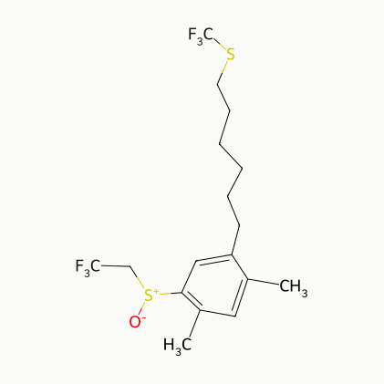 Cc1cc(C)c([S+]([O-])CC(F)(F)F)cc1CCCCCCSC(F)(F)F